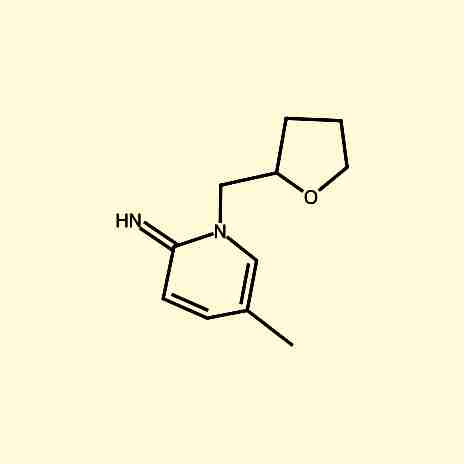 Cc1ccc(=N)n(CC2CCCO2)c1